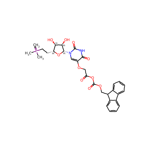 C=P(C)(C)CC[C@H]1O[C@@H](n2cc(OCC(=O)OC(=O)OCC3c4ccccc4-c4ccccc43)c(=O)[nH]c2=O)[C@H](O)[C@@H]1O